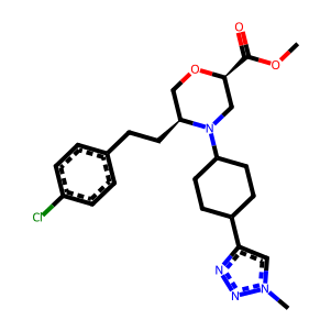 COC(=O)[C@H]1CN(C2CCC(c3cn(C)nn3)CC2)[C@@H](CCc2ccc(Cl)cc2)CO1